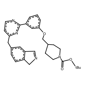 CC(C)(C)OC(=O)N1CCC(COc2cccc(-c3nccc(Cc4ccc5c(c4)C=NC5)n3)c2)CC1